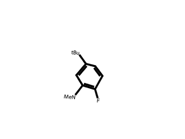 CNc1cc(C(C)(C)C)ccc1F